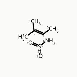 CC=C(C)C.N[SH](=O)=O